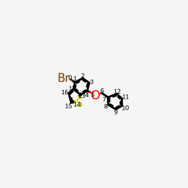 Brc1ccc(OCc2ccccc2)c2sccc12